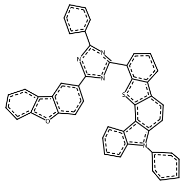 c1ccc(-c2nc(-c3ccc4oc5ccccc5c4c3)nc(-c3cccc4c3sc3c4ccc4c3c3ccccc3n4-c3ccccc3)n2)cc1